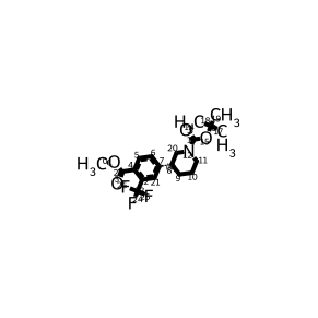 COC(=O)c1ccc([C@H]2CCCN(C(=O)OC(C)(C)C)C2)cc1C(F)(F)F